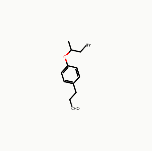 CC(C)CC(C)Oc1ccc(CCC=O)cc1